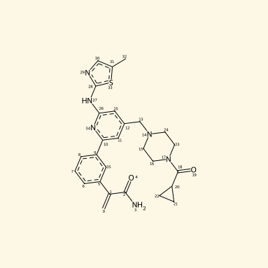 C=C(C(N)=O)c1cccc(-c2cc(CN3CCN(C(=O)C4CC4)CC3)cc(Nc3ncc(C)s3)n2)c1